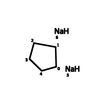 C1CCCC1.[NaH].[NaH]